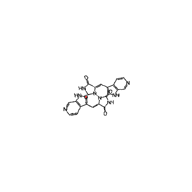 O=C1NC(=O)N(N2C(=O)NC(=O)/C2=C/c2c[nH]c3cnccc23)/C1=C\c1c[nH]c2cnccc12